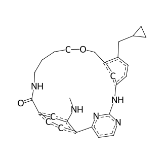 CNc1cc2ccc1-c1ccnc(n1)Nc1ccc(CC3CC3)c(c1)COCCCCNC2=O